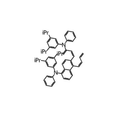 C=C/C=C\c1c(/C=C\C(=C)N(c2ccccc2)c2cc(C(C)C)cc(C(C)C)c2)ccc2c(N(c3ccccc3)c3cc(C(C)C)cc(C(C)C)c3)cccc12